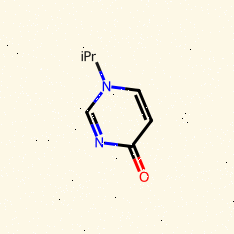 CC(C)n1ccc(=O)nc1